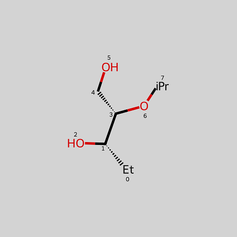 CC[C@H](O)[C@H](CO)OC(C)C